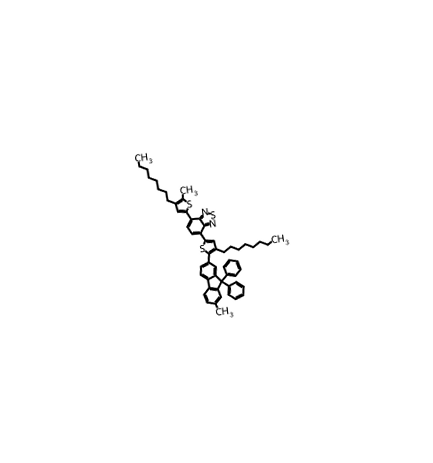 CCCCCCCCc1cc(-c2ccc(-c3cc(CCCCCCCC)c(-c4ccc5c(c4)C(c4ccccc4)(c4ccccc4)c4cc(C)ccc4-5)s3)c3nsnc23)sc1C